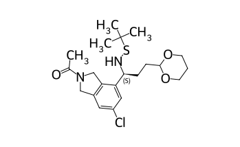 CC(=O)N1Cc2cc(Cl)cc([C@H](CCC3OCCCO3)NSC(C)(C)C)c2C1